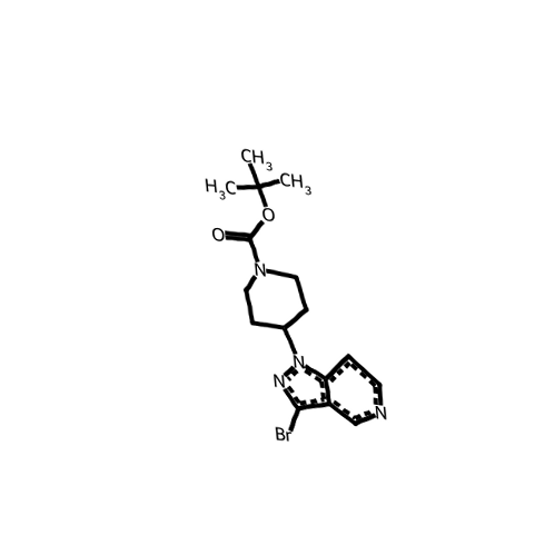 CC(C)(C)OC(=O)N1CCC(n2nc(Br)c3cnccc32)CC1